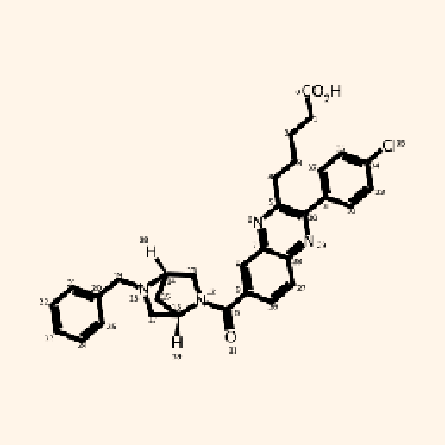 O=C(O)CCCCc1nc2cc(C(=O)N3C[C@@H]4C[C@H]3CN4Cc3ccccc3)ccc2nc1-c1ccc(Cl)cc1